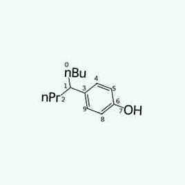 CCCCC(CCC)c1ccc(O)cc1